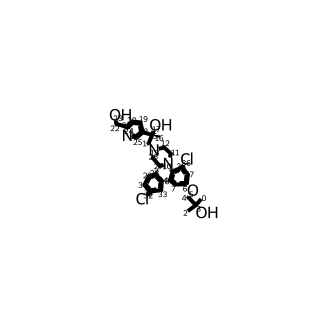 CC(C)(O)COc1ccc(N2CCN(C[C@@](C)(O)c3ccc(CO)nc3)C[C@H]2c2ccc(Cl)cc2)c(Cl)c1